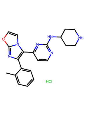 Cc1ccccc1-c1nc2occn2c1-c1ccnc(NC2CCNCC2)n1.Cl